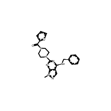 Cn1ncc2c(NCc3ccccc3)nc(N3CCN(C(=O)c4ccco4)CC3)nc21